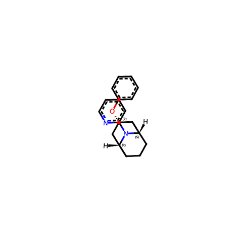 c1ccc(O[C@H]2C[C@H]3CCC[C@@H](C2)N3c2ccccn2)cc1